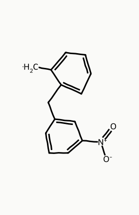 [CH2]c1ccccc1Cc1cccc([N+](=O)[O-])c1